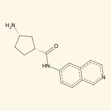 N[C@H]1CC[C@@H](C(=O)Nc2ccc3cnccc3c2)C1